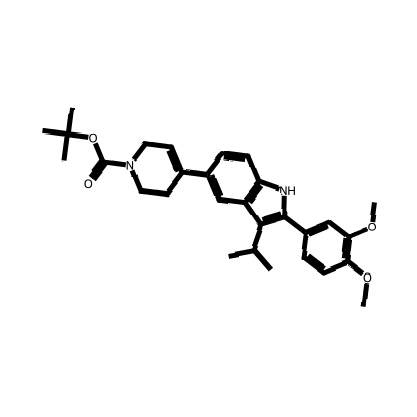 COc1ccc(-c2[nH]c3ccc(C4=CCN(C(=O)OC(C)(C)C)CC4)cc3c2C(C)C)cc1OC